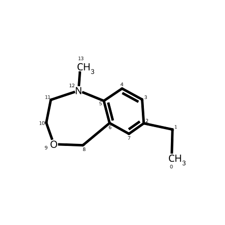 CCc1ccc2c(c1)COCCN2C